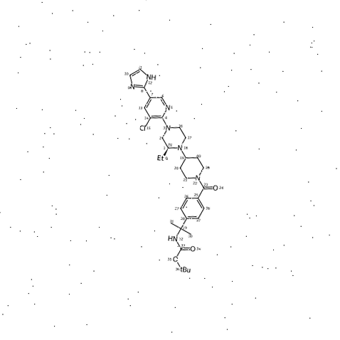 CC[C@H]1CN(c2ncc(-c3ncc[nH]3)cc2Cl)CCN1C1CCN(C(=O)c2ccc(C(C)(C)NC(=O)OC(C)(C)C)cc2)CC1